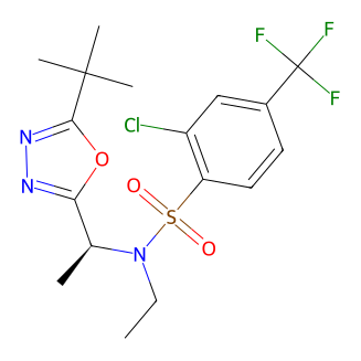 CCN([C@@H](C)c1nnc(C(C)(C)C)o1)S(=O)(=O)c1ccc(C(F)(F)F)cc1Cl